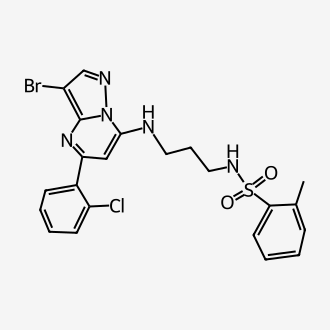 Cc1ccccc1S(=O)(=O)NCCCNc1cc(-c2ccccc2Cl)nc2c(Br)cnn12